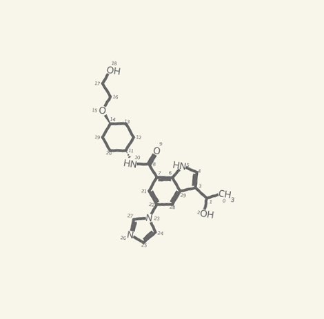 CC(O)c1c[nH]c2c(C(=O)N[C@H]3CC[C@H](OCCO)CC3)cc(-n3ccnc3)cc12